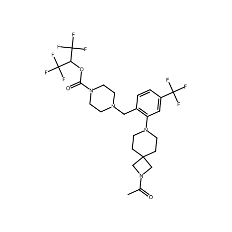 CC(=O)N1CC2(CCN(c3cc(C(F)(F)F)ccc3CN3CCN(C(=O)OC(C(F)(F)F)C(F)(F)F)CC3)CC2)C1